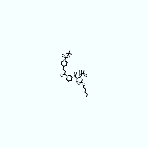 CCCCCOC(=O)C[C@@H](NC(C)=O)NC(=O)[C@@H]1CCCN(C(=O)CCC2CCN(C(=O)OC(C)(C)C)CC2)C1